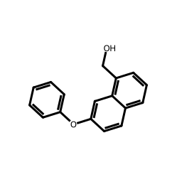 OCc1cccc2ccc(Oc3ccccc3)cc12